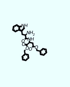 NC(Cc1c[nH]c2ccccc12)C(=O)NC(CC(=O)OCc1ccccc1)C(=O)OCc1ccccc1